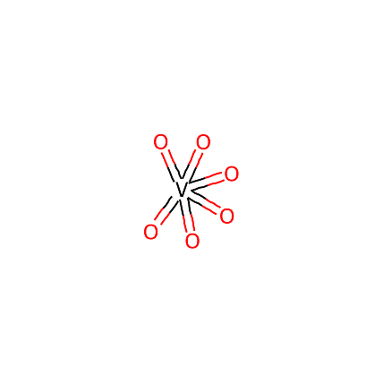 [O]=[V](=[O])(=[O])(=[O])(=[O])=[O]